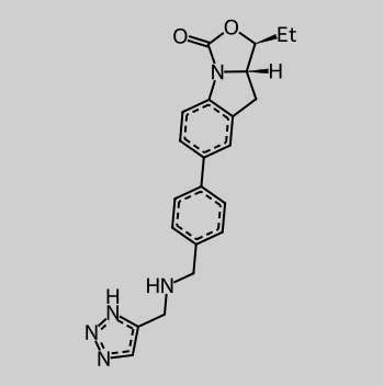 CC[C@@H]1OC(=O)N2c3ccc(-c4ccc(CNCc5cnn[nH]5)cc4)cc3C[C@@H]12